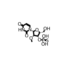 CO[C@@H]1[C@@H](OP(O)(O)=S)[C@@H](CO)O[C@H]1n1ccc(=O)[nH]c1=O